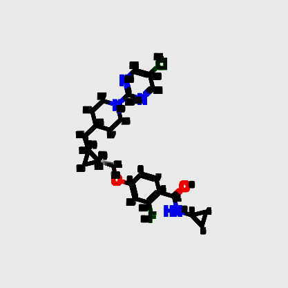 O=C(NC1CC1)c1ccc(OC[C@@H]2C[C@H]2CC2CCN(c3ncc(Cl)cn3)CC2)cc1F